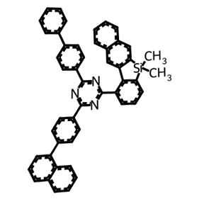 C[Si]1(C)c2cc3ccccc3cc2-c2c(-c3nc(-c4ccc(-c5ccccc5)cc4)nc(-c4ccc(-c5cccc6ccccc56)cc4)n3)cccc21